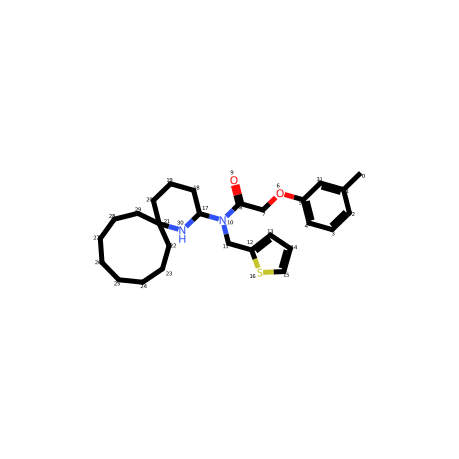 Cc1cccc(OCC(=O)N(Cc2cccs2)C2CCCC3(CCCCCCCC3)N2)c1